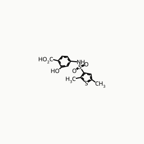 Cc1cc(S(=O)(=O)Nc2ccc(C(=O)O)c(O)c2)c(C)s1